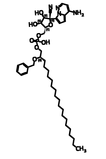 CCCCCCCCCCCCCCCCCCC[C@H](COP(=O)(O)OC[C@H]1O[C@@](C#N)(c2ccc3c(N)ccnn23)[C@H](O)[C@@H]1O)OCc1ccccc1